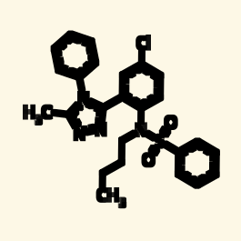 CCCCN(c1ccc(Cl)cc1-c1nnc(C)n1-c1ccccc1)S(=O)(=O)c1ccccc1